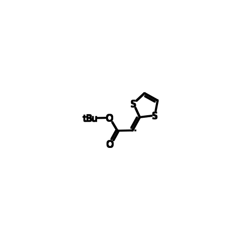 CC(C)(C)OC(=O)[C]=C1SC=CS1